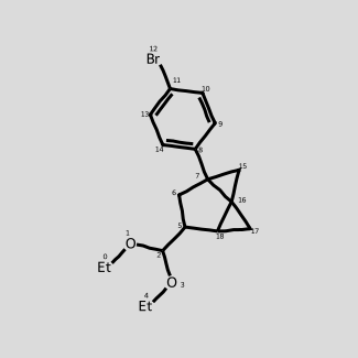 CCOC(OCC)C1CC2(c3ccc(Br)cc3)CC23CC13